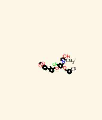 Cc1c(COc2cc(OCc3cccc(C#N)c3)c(CN3CC[C@H](O)[C@H]3C(=O)O)cc2Cl)cccc1-c1ccc2c(c1)OCCO2